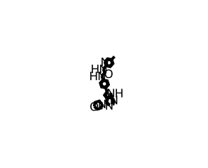 Cc1ccc(NC(=O)Nc2ccc(-c3cc4c(N5CCOCC5)ncnc4[nH]3)cc2)nc1